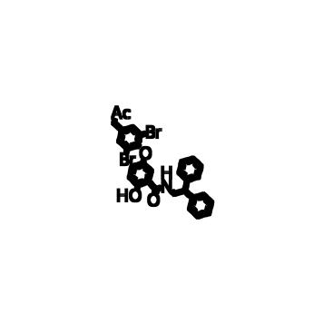 CC(=O)Cc1cc(Br)c(Oc2ccc(O)c(C(=O)NCC(c3ccccc3)c3ccccc3)c2)c(Br)c1